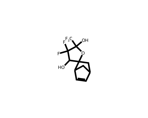 OC1C2(CC3C=CC2C3)OC(O)(C(F)(F)F)C1(F)F